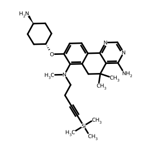 CN(CCC#C[Si](C)(C)C)c1c(O[C@H]2CC[C@H](N)CC2)ccc2c1CC(C)(C)c1c(N)ncnc1-2